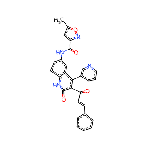 Cc1cc(C(=O)Nc2ccc3[nH]c(=O)c(C(=O)C=Cc4ccccc4)c(-c4cccnc4)c3c2)no1